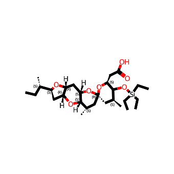 CC[C@H](C)[C@@H]1C[C@H]2O[C@@H]3[C@H](C[C@H]2O1)O[C@]1(C[C@H](C)C(O[Si](CC)(CC)CC)[C@H](CC(=O)O)O1)C[C@@H]3C